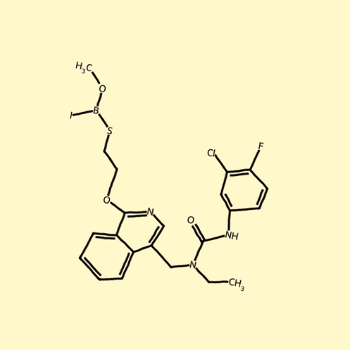 CCN(Cc1cnc(OCCSB(I)OC)c2ccccc12)C(=O)Nc1ccc(F)c(Cl)c1